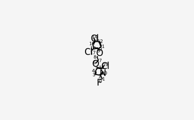 FCc1ccc(OCCOc2ccc(Cl)cc2Cl)c(Cl)n1